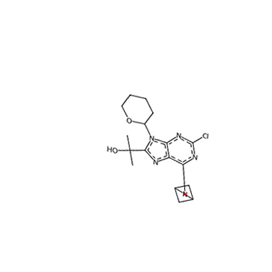 CC(C)(O)c1nc2c(N3CC4CC3C4)nc(Cl)nc2n1C1CCCCO1